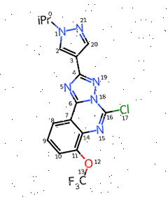 CC(C)n1cc(-c2nc3c4cccc(OC(F)(F)F)c4nc(Cl)n3n2)cn1